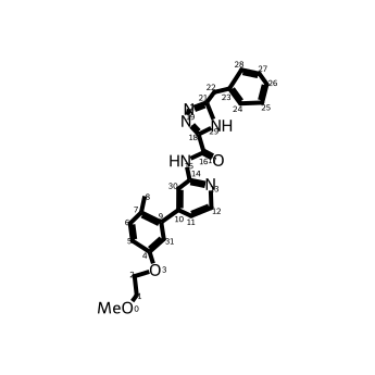 COCCOc1ccc(C)c(-c2ccnc(NC(=O)c3nnc(Cc4ccccc4)[nH]3)c2)c1